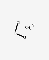 ClOCl.[SiH4].[V]